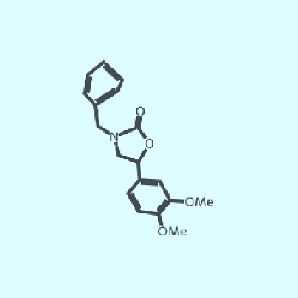 COc1ccc(C2CN(Cc3ccccc3)C(=O)O2)cc1OC